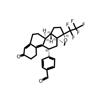 CO[C@@]1(C(F)(F)C(F)(F)F)CC[C@H]2[C@@H]3CCC4=CC(=O)CCC4=C3[C@@H](c3ccc(C=O)cc3)C[C@@]21C